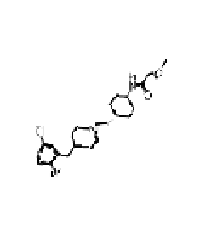 COCC(=O)N[C@H]1CC[C@H](CCN2CCC(Cc3cc(Cl)ccc3Br)CC2)CC1